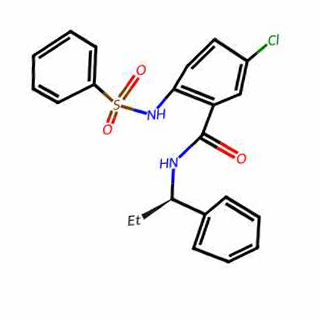 CC[C@@H](NC(=O)c1cc(Cl)ccc1NS(=O)(=O)c1ccccc1)c1ccccc1